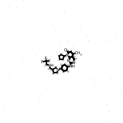 Cc1cc(=O)n(C2CCCC2)c2nc(Nc3ccc(N4CCC(CNCC(F)(F)F)C4)cc3)ncc12